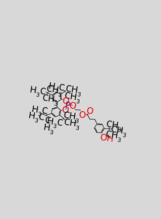 CC(C)(C)c1cc(C(C)(C)C)c2op(OCCOC(=O)CCc3ccc(O)c(C(C)(C)C)c3)oc3c(C(C)(C)C)cc(C(C)(C)C)cc3c2c1